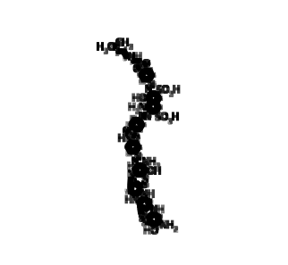 CN(C)CCCNCCS(=O)(=O)c1ccc(N=Nc2c(S(=O)(=O)O)cc3cc(S(=O)(=O)O)c(N=Nc4ccc(S(=O)(=O)Nc5ccc(N=Nc6c(N)c(O)c7ssc8c9[nH]c%10cc%11[nH]c%12cc(N)c(O)c%13ssc(c%10[nH]c9cc9[nH]c6c7sc98)c%11sc%12%13)cc5)cc4)c(N)c3c2O)cc1